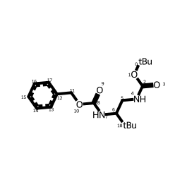 CC(C)(C)OC(=O)NCC(NC(=O)OCc1ccccc1)C(C)(C)C